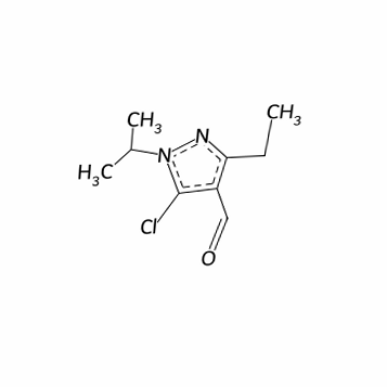 CCc1nn(C(C)C)c(Cl)c1C=O